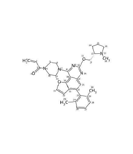 C=CC(=O)N1CCN(c2nc(OC[C@@H]3CCCN3C)nc3cc(-c4c(C)cccc4C)c4ccoc4c23)CC1